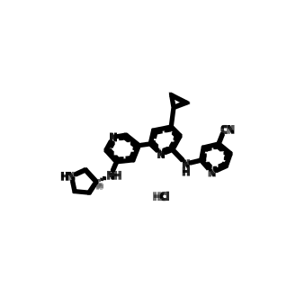 Cl.N#Cc1ccnc(Nc2cc(C3CC3)cc(-c3cncc(N[C@@H]4CCNC4)c3)n2)c1